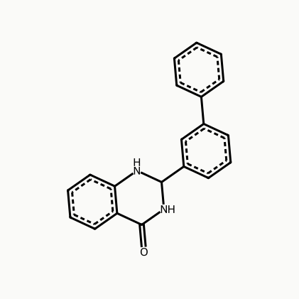 O=C1NC(c2cccc(-c3ccccc3)c2)Nc2ccccc21